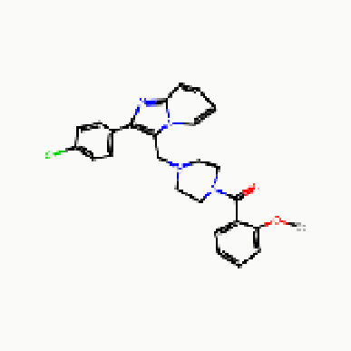 CCOc1ccccc1C(=O)N1CCN(Cc2c(-c3ccc(Cl)cc3)nc3ccccn23)CC1